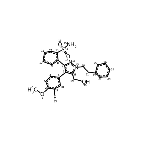 COc1ccc(-c2c(-c3ccccc3S(N)(=O)=O)nn(CCc3ccccc3)c2CO)cc1F